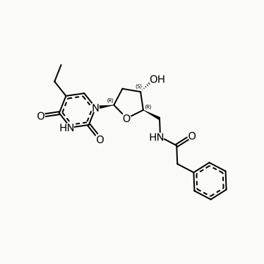 CCc1cn([C@H]2C[C@H](O)[C@@H](CNC(=O)Cc3ccccc3)O2)c(=O)[nH]c1=O